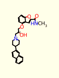 CNC(=O)c1cc2c(OC[C@@H](O)CN3CCC(c4ccc5ccccc5c4)CC3)cccc2o1